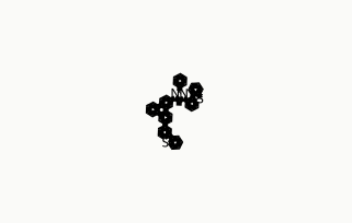 Cc1c(-c2ccc3c4ccccc4c4cc(-c5ccc6sc7ccccc7c6c5)ccc4c3c2)nc(-c2ccccc2)nc1-c1cccc2sc3ccccc3c12